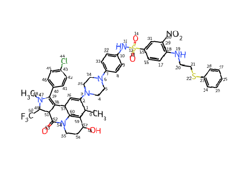 CC1C(N2CCN(c3ccc(NS(=O)(=O)c4ccc(NCCSc5ccccc5)c([N+](=O)[O-])c4)cc3)CC2)=CC2C3=C(c4ccc(Cl)cc4)N(C)C(C(F)(F)F)C3C(=O)N3CCC(O)C1=C23